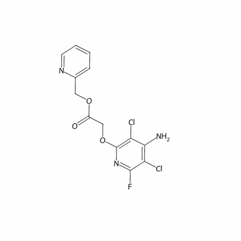 Nc1c(Cl)c(F)nc(OCC(=O)OCc2ccccn2)c1Cl